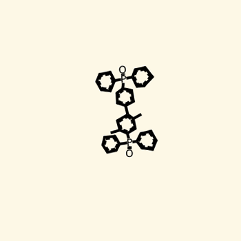 Cc1cc(P(=O)(c2ccccc2)c2ccccc2)c(C)cc1-c1ccc(P(=O)(c2ccccc2)c2ccccc2)cc1